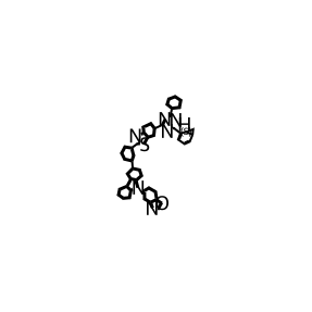 C1=CC2C[C@@H]2C(c2nc(-c3ccccc3)nc(-c3ccc4nc(-c5cccc(-c6ccc7c(c6)c6ccccc6n7-c6ccc7ocnc7c6)c5)sc4c3)n2)=C1